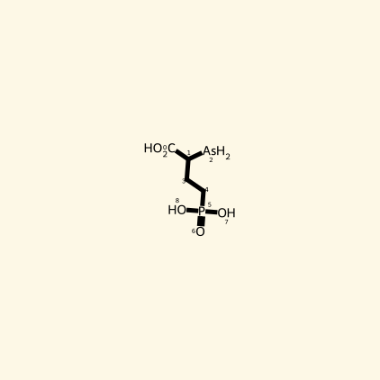 O=C(O)C([AsH2])CCP(=O)(O)O